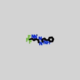 Cn1nc(C(F)(F)F)cc1-c1cnc2[nH]c(-c3ccccc3)cc2n1